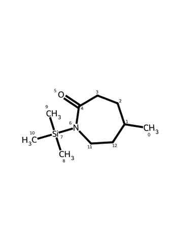 CC1CCC(=O)N([Si](C)(C)C)CC1